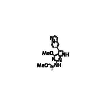 COC[C@@H](C)Nc1nc(OC)c2c(-c3ccn4nccc4c3)c[nH]c2n1